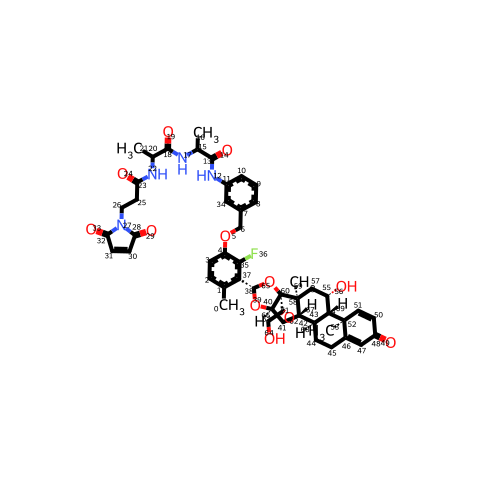 Cc1ccc(OCc2cccc(NC(=O)C(C)NC(=O)C(C)NC(=O)CCN3C(=O)C=CC3=O)c2)c(F)c1[C@H]1O[C@@H]2C[C@H]3[C@@H]4CCC5=CC(=O)C=C[C@]5(C)[C@H]4[C@@H](O)C[C@]3(C)[C@]2(C(=O)CO)O1